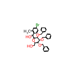 Cc1cc(Br)ccc1[C@@H](O)[C@H]1OC(CO)[C@@H](OCc2ccccc2)C(OCc2ccccc2)C1OCc1ccccc1